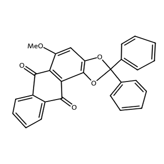 COc1cc2c(c3c1C(=O)c1ccccc1C3=O)OC(c1ccccc1)(c1ccccc1)O2